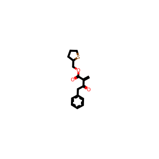 C=C(C(=O)Cc1ccccc1)C(=O)OCC1CCCS1